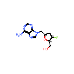 Nc1ncnc2c1ncn2C[C@H]1C[C@@H](F)[C@@H](CO)O1